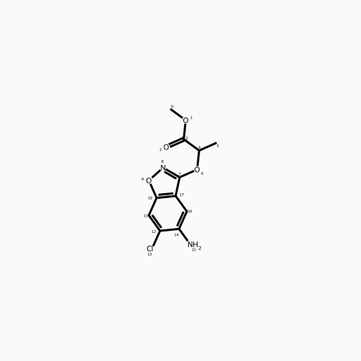 COC(=O)C(C)Oc1noc2cc(Cl)c(N)cc12